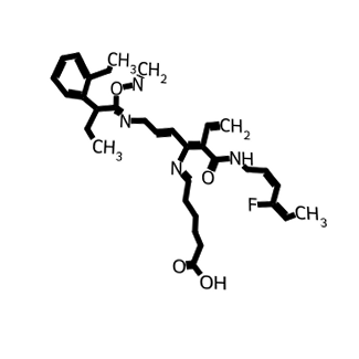 C=C/C(C(=O)NC/C=C\C(F)=C/C)=C(\C=C\C/N=C(\ON=C)C(CC)c1ccccc1CC)/N=C/CCCCC(=O)O